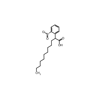 CCCCCCCCCCC(C(=O)O)c1ccccc1[N+](=O)[O-]